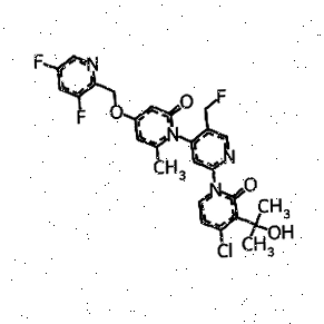 Cc1cc(OCc2ncc(F)cc2F)cc(=O)n1-c1cc(-n2ccc(Cl)c(C(C)(C)O)c2=O)ncc1CF